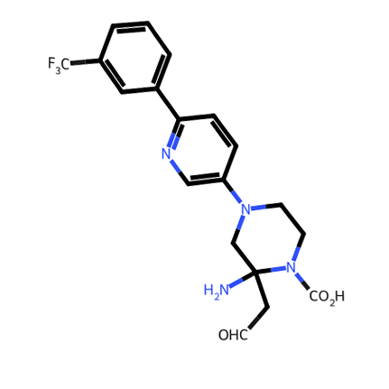 NC1(CC=O)CN(c2ccc(-c3cccc(C(F)(F)F)c3)nc2)CCN1C(=O)O